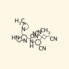 C[C@H]1CCCN(Cc2cc(C(=O)Nc3cc(C#N)cc(C4(c5nncn5C)CC(CC#N)C4)c3)nc3cc[nH]c23)C1